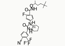 CC(CCC(C)(C)C)ONC(=O)c1ccc(N2C(=O)N(c3ccc(C#N)c(C(F)(F)F)c3)[C@H]3CCCC[C@@H]32)cc1F